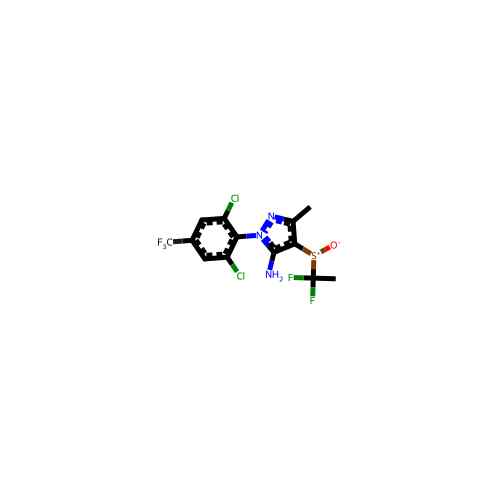 Cc1nn(-c2c(Cl)cc(C(F)(F)F)cc2Cl)c(N)c1[S+]([O-])C(C)(F)F